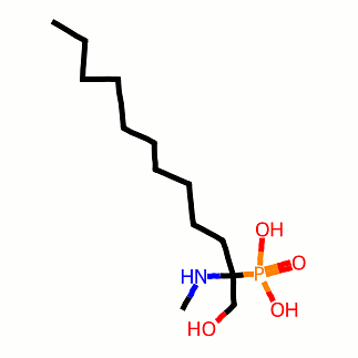 CCCCCCCCCCC(CO)(NC)P(=O)(O)O